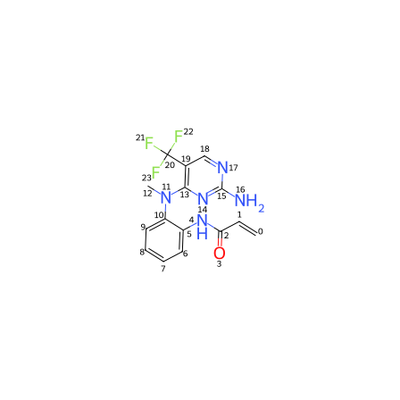 C=CC(=O)Nc1ccccc1N(C)c1nc(N)ncc1C(F)(F)F